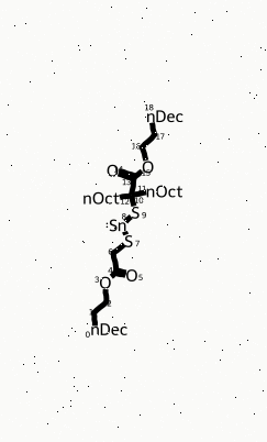 CCCCCCCCCCCCOC(=O)C[S][Sn][S]C(CCCCCCCC)(CCCCCCCC)C(=O)OCCCCCCCCCCCC